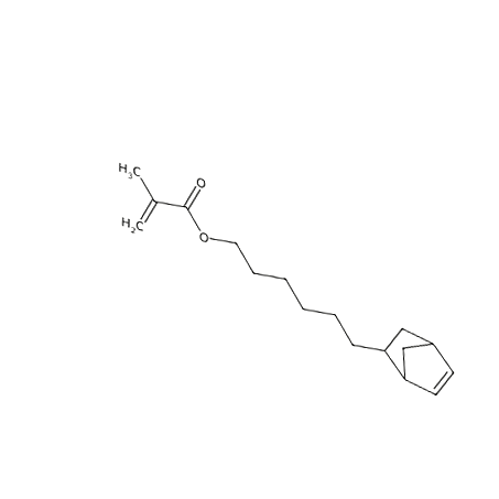 C=C(C)C(=O)OCCCCCCC1CC2C=CC1C2